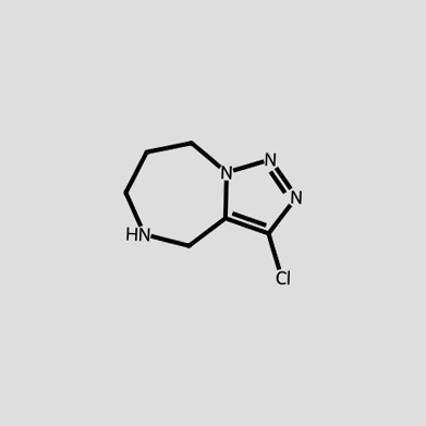 Clc1nnn2c1CNCCC2